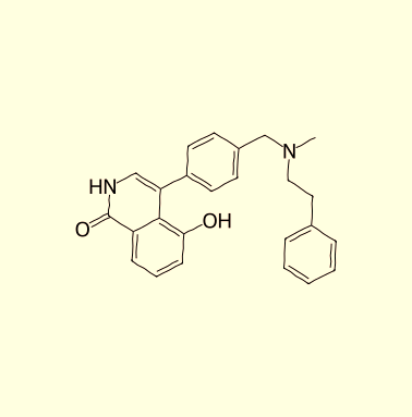 CN(CCc1ccccc1)Cc1ccc(-c2c[nH]c(=O)c3cccc(O)c23)cc1